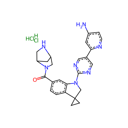 Cl.Cl.Nc1ccnc(-c2cnc(N3CC4(CC4)c4ccc(C(=O)N5CC6CC5CN6)cc43)nc2)c1